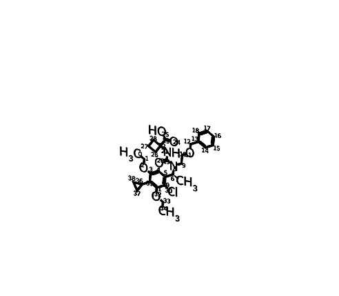 CCOc1cc([C@@H](C)N(CCOCc2ccccc2)C(=O)NC2(C(=O)O)CCC2)c(Cl)c(OCC)c1C1CC1